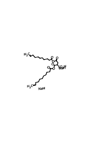 C=CCCCCCCCCC(=O)OC(=O)CC(C(=O)OC(=O)CCCCCCCCC=C)S(=O)(=O)O.[NaH].[NaH]